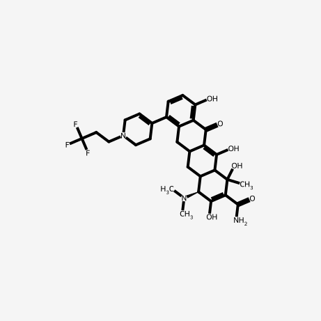 CN(C)[C@@H]1C(O)=C(C(N)=O)C(C)(O)C2C(O)=C3C(=O)c4c(O)ccc(C5=CCN(CCC(F)(F)F)CC5)c4CC3CC21